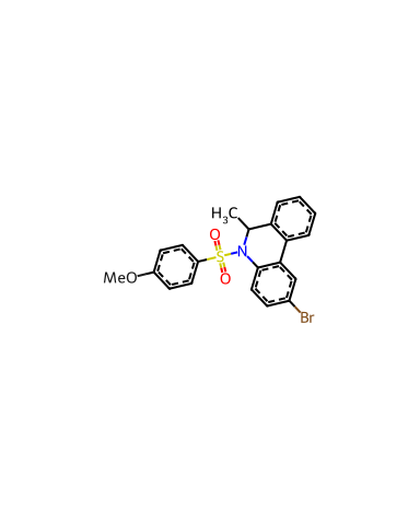 COc1ccc(S(=O)(=O)N2c3ccc(Br)cc3-c3ccccc3C2C)cc1